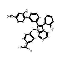 N#Cc1ccccc1-c1c(-c2cccc(C3=C(Cl)C=C(C=O)CC3)c2)n(Sc2ccc(C(F)F)cc2)c2cnccc12